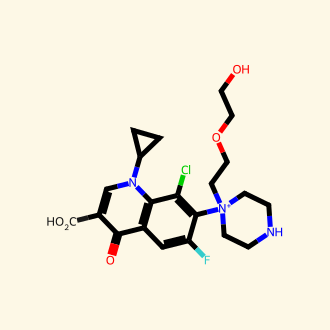 O=C(O)c1cn(C2CC2)c2c(Cl)c([N+]3(CCOCCO)CCNCC3)c(F)cc2c1=O